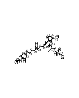 CC(CCC(=O)NC=O)N(C)Cc1c(C#CCCCNCCCCN2CCC(NC=O)CC2)cccc1C=O